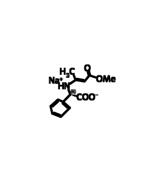 COC(=O)C=C(C)N[C@H](C(=O)[O-])c1ccccc1.[Na+]